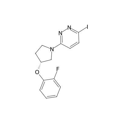 Fc1ccccc1O[C@@H]1CCN(c2ccc(I)nn2)C1